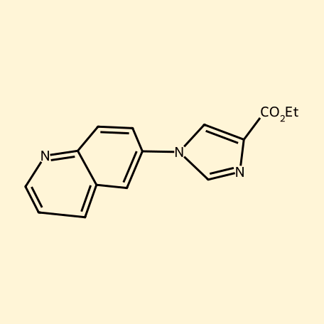 CCOC(=O)c1cn(-c2ccc3ncccc3c2)cn1